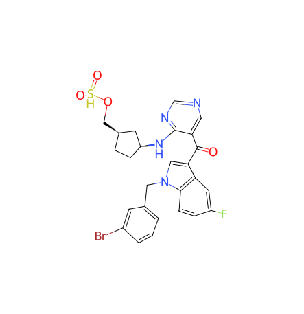 O=C(c1cncnc1N[C@H]1CC[C@@H](CO[SH](=O)=O)C1)c1cn(Cc2cccc(Br)c2)c2ccc(F)cc12